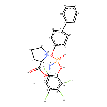 O=C(O)[C@@]1(NP(=O)(Oc2ccc(-c3ccccc3)cc2)Oc2c(F)c(F)c(F)c(F)c2F)CCCN1